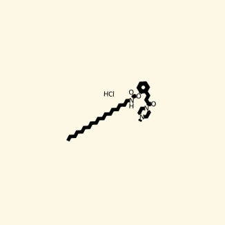 CCCCCCCCCCCCCCCCCCNC(=O)Oc1ccccc1CCC(=O)N1CCN(C)CC1.Cl